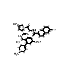 COc1ccc([C@H](C)NC(=O)[C@@H]2C[C@@H](O)CN2C(=O)CNC(=O)c2ccc3cc(F)ccc3n2)c(C2=CCN(C)CC2)c1